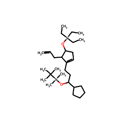 C=CCC1C(CCC(O[Si](C)(C)C(C)(C)C)C2CCCC2)=CCC1O[Si](CC)(CC)CC